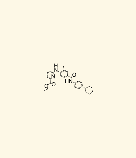 CCOC(=O)c1cccc(Nc2ccc(C(=O)Nc3ccc(C4CCCCC4)cc3)cc2C)n1